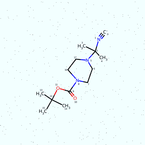 [C-]#[N+]C(C)(C)N1CCN(C(=O)OC(C)(C)C)CC1